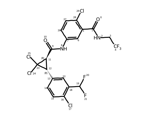 O=C(NCC(F)(F)F)c1cc(NC(=O)[C@H]2[C@H](c3ccc(Cl)c(C(F)F)c3)C2(Cl)Cl)ccc1Cl